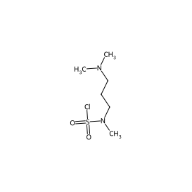 CN(C)CCCN(C)S(=O)(=O)Cl